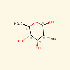 CC(C)(C)[C@@H]1[C@@H](O)[C@H](O)[C@@H](C(=O)O)O[C@H]1O